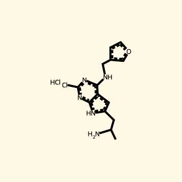 CC(N)Cc1cc2c(NCc3ccoc3)nc(Cl)nc2[nH]1.Cl